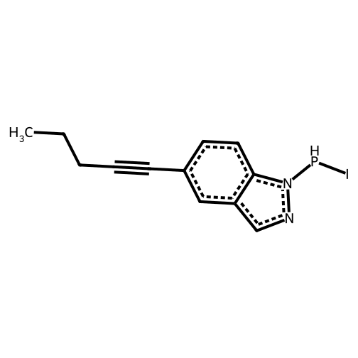 CCCC#Cc1ccc2c(cnn2PI)c1